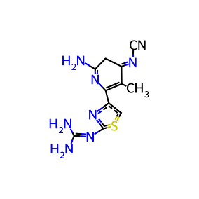 CC1=C(c2csc(N=C(N)N)n2)N=C(N)CC1=NC#N